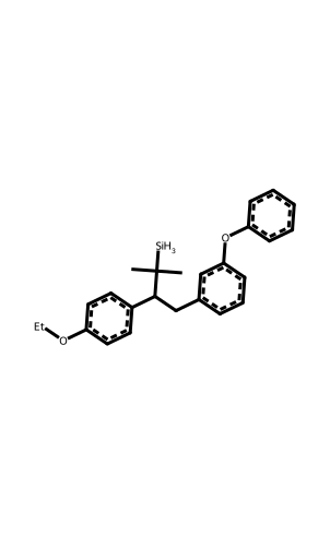 CCOc1ccc(C(Cc2cccc(Oc3ccccc3)c2)C(C)(C)[SiH3])cc1